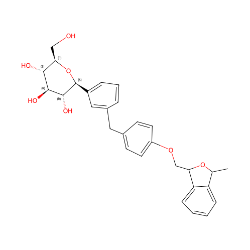 CC1OC(COc2ccc(Cc3cccc([C@@H]4O[C@H](CO)[C@@H](O)[C@H](O)[C@H]4O)c3)cc2)c2ccccc21